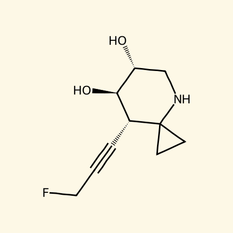 O[C@H]1[C@H](O)CNC2(CC2)[C@@H]1C#CCF